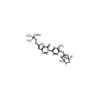 COC(C)(C)CCc1cc2ncn(-c3ccc(O[C@H]4C[C@H]5CC[C@@H](C4)N5C)c(C)c3)c(=O)c2s1